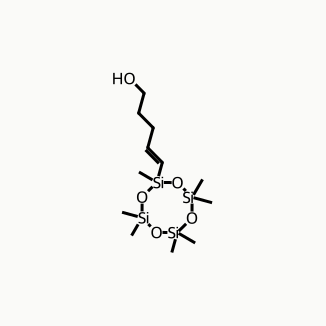 C[Si]1(C)O[Si](C)(C)O[Si](C)(C=CCCCO)O[Si](C)(C)O1